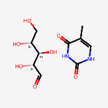 Cc1c[nH]c(=O)[nH]c1=O.O=C[C@H](O)[C@H](O)[C@H](O)CO